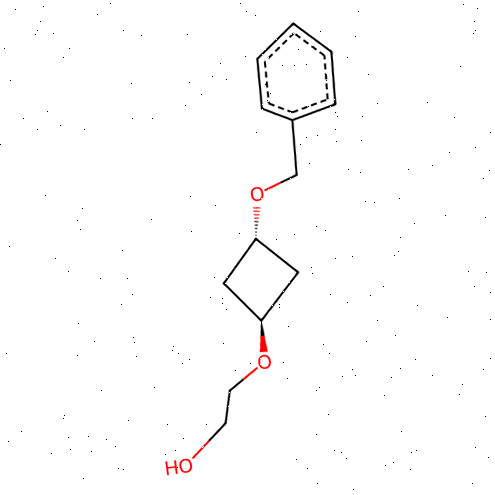 OCCO[C@H]1C[C@H](OCc2ccccc2)C1